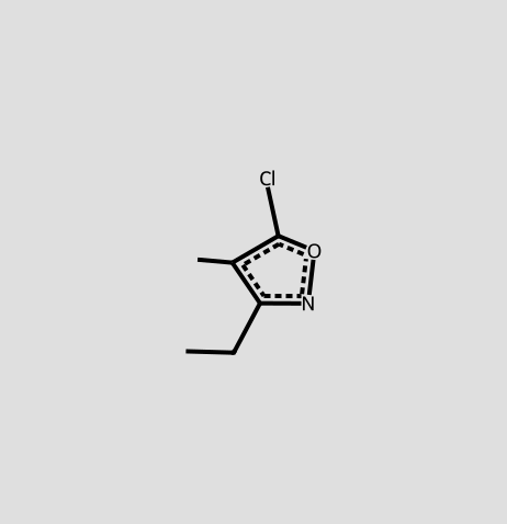 CCc1noc(Cl)c1C